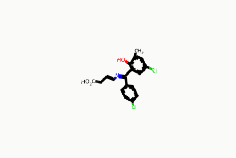 Cc1cc(Cl)cc(/C(=N/C=C/CC(=O)O)c2ccc(Cl)cc2)c1O